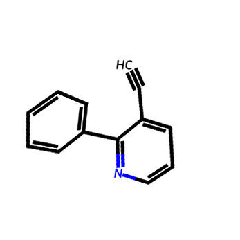 C#Cc1cccnc1-c1ccccc1